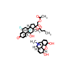 CCCC(=O)O[C@]1(C(=O)COC(C)=O)CC[C@H]2[C@@H]3C[C@H](F)C4=CC(=O)C=C[C@]4(C)[C@@]3(F)[C@@H](O)C[C@@]21C.CN1CC[C@]23c4c5ccc(O)c4O[C@H]2[C@@H](O)C=C[C@H]3[C@H]1C5